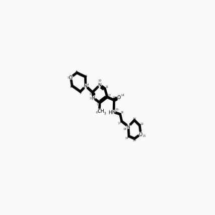 Cc1nc(N2CCOCC2)ncc1C(=O)NCCN1CCOCC1